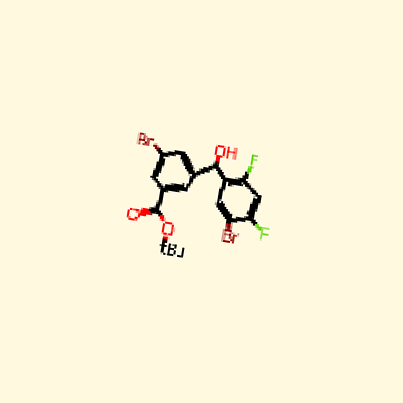 CC(C)(C)OC(=O)c1cc(Br)cc(C(O)c2cc(Br)c(F)cc2F)c1